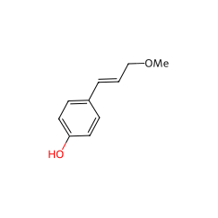 COCC=Cc1ccc(O)cc1